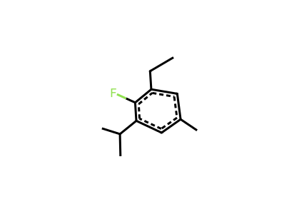 CCc1cc(C)cc(C(C)C)c1F